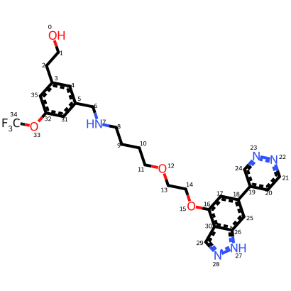 OCCc1cc(CNCCCCOCCOc2cc(-c3ccnnc3)cc3[nH]ncc23)cc(OC(F)(F)F)c1